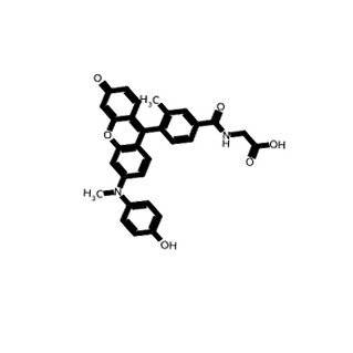 Cc1cc(C(=O)NCC(=O)O)ccc1-c1c2ccc(=O)cc-2oc2cc(N(C)c3ccc(O)cc3)ccc12